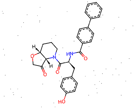 O=C(N[C@@H](Cc1ccc(O)cc1)C(=O)N1CCC[C@H]2OCC(=O)[C@H]21)c1ccc(-c2ccccc2)cc1